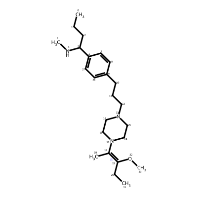 CCCC(NC)c1ccc(CCCN2CCN(/C(C)=C(/CC)OC)CC2)cc1